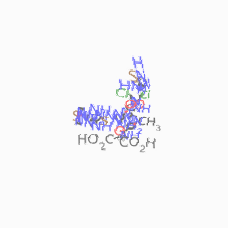 CN(Cc1cnc2nc(N)nc(N)c2n1)c1ccc(C(=O)N[C@@H](CCC(=O)O)C(=O)O)cc1.Nc1nc(=S)c2[nH]cnc2[nH]1.O=P1(N(CCCl)CCCl)NCCCO1.S=P(N1CC1)(N1CC1)N1CC1.S=c1[nH]cnc2nc[nH]c12